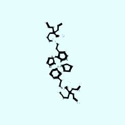 C=CCC1(CC=C)CCCN(CCc2ccc(F)[c]([Ti]([C]3=CC=CC3)([C]3=CC=CC3)[c]3c(F)ccc(CCN4CCCC(CC=C)(CC=C)C4=O)c3F)c2F)C1=O